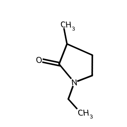 CCN1CCC(C)C1=O